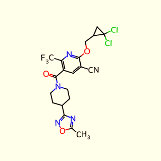 Cc1nc(C2CCN(C(=O)c3cc(C#N)c(OCC4CC4(Cl)Cl)nc3C(F)(F)F)CC2)no1